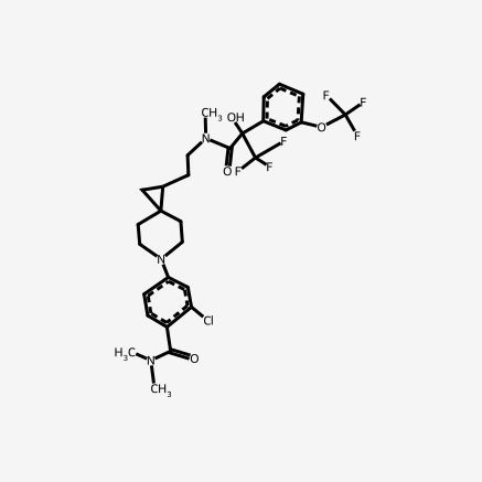 CN(C)C(=O)c1ccc(N2CCC3(CC2)CC3CCN(C)C(=O)C(O)(c2cccc(OC(F)(F)F)c2)C(F)(F)F)cc1Cl